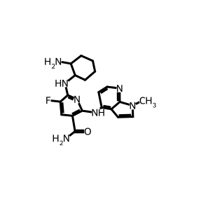 Cn1ccc2c(Nc3nc(NC4CCCCC4N)c(F)cc3C(N)=O)ccnc21